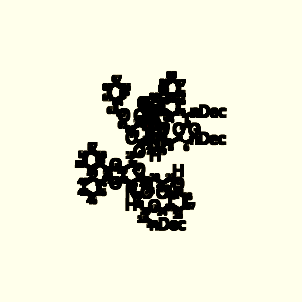 CCCCCCCCCCCC(=O)O[C@H](CCCCCCCCCCC)CC(=O)N[C@H]1[C@H](OC[C@H]2O[C@H](OCC(O)CO)[C@H](NC(=O)C[C@@H](CCCCCCCCCCC)OCc3ccccc3)[C@@H](OCc3ccccc3)[C@@H]2OCc2ccccc2)O[C@H](COCc2ccccc2)[C@@H](OP(=O)(OCc2ccccc2)OCc2ccccc2)[C@@H]1OCc1ccccc1